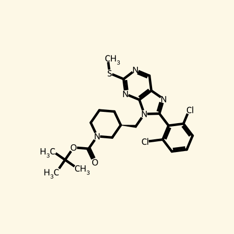 CSc1ncc2nc(-c3c(Cl)cccc3Cl)n(C[C@@H]3CCCN(C(=O)OC(C)(C)C)C3)c2n1